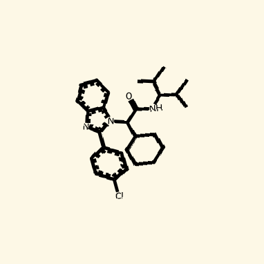 CC(C)C(NC(=O)C(C1CCCCC1)n1c(-c2ccc(Cl)cc2)nc2ccccc21)C(C)C